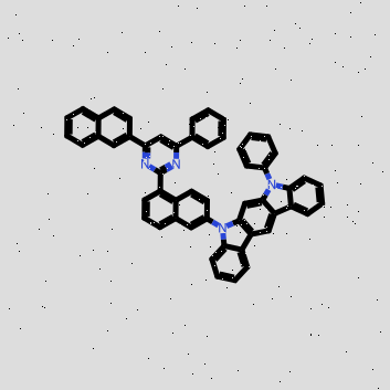 c1ccc(-c2cc(-c3ccc4ccccc4c3)nc(-c3cccc4cc(-n5c6ccccc6c6cc7c8ccccc8n(-c8ccccc8)c7cc65)ccc34)n2)cc1